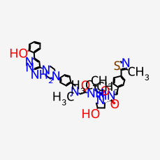 Cc1ncsc1-c1ccc(CNC(=O)[C@@H]2C[C@@H](O)CN2C(=O)C(NC(=O)CN(C)Cc2ccc(N3CCN(c4cc(-c5ccccc5O)nnc4N)CC3)cc2)C(C)(C)C)cc1